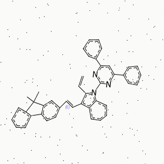 C=Cc1c(/C=C/c2ccc3c(c2)C(C)(C)c2ccccc2-3)c2ccccc2n1-c1nc(-c2ccccc2)cc(-c2ccccc2)n1